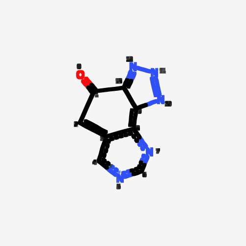 O=C1C=c2cncnc2=C2N=NN=C12